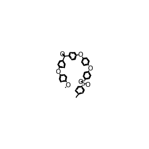 COc1ccc(Oc2ccc(C(=O)c3ccc(Oc4ccc(Oc5ccc(S(=O)(=O)c6ccc(C)cc6)cc5)cc4)cc3)cc2)cc1